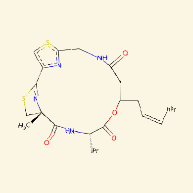 CCC/C=C\CC1CC(=O)NCc2nc(cs2)C2=N[C@@](C)(CS2)C(=O)N[C@@H](C(C)C)C(=O)O1